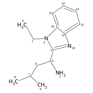 CCn1c(C(N)CC(C)C)nc2ccccc21